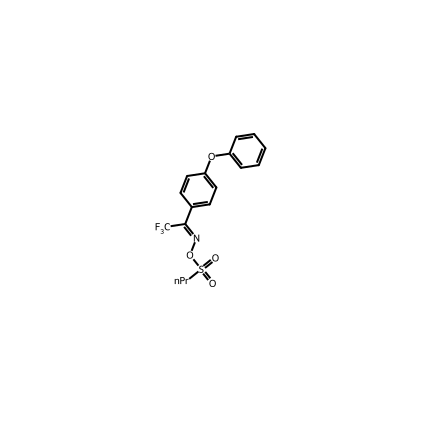 CCCS(=O)(=O)ON=C(c1ccc(Oc2ccccc2)cc1)C(F)(F)F